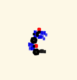 CC(C)(C)c1cccc(NC(=O)Nc2ccc(-n3cnc(C(N)=O)c3N)cc2)c1